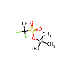 CC(C)(C)[Si](C)(C)OS(=O)(=O)C(F)(F)C(F)(F)F